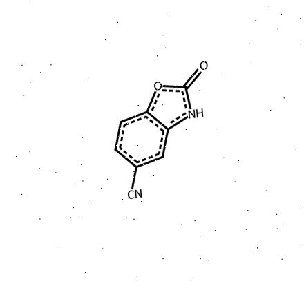 N#Cc1ccc2oc(=O)[nH]c2c1